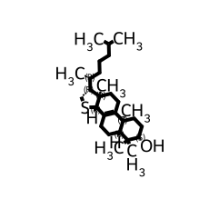 CC(C)CCC[C@@H](C)[C@H]1CS[C@H]2C3=C(CC[C@]12C)[C@@]1(C)CC[C@H](O)C(C)(C)[C@@H]1CC3